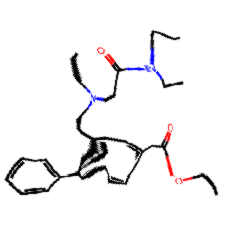 CCOC(=O)c1ccc(-c2ccccc2)c(CN(CC)CC(=O)N(CC)CC)c1